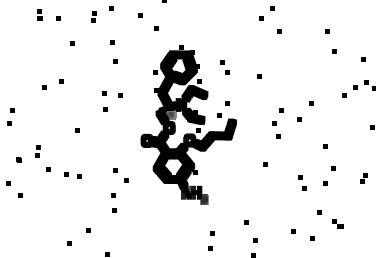 CCCCOc1cc(N)ccc1C(=O)OC[C@H](Cc1ccccc1)N(CC)CC